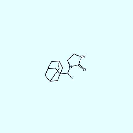 CC(N1CCNC1=O)C12CC3CC(CC(C3)C1)C2